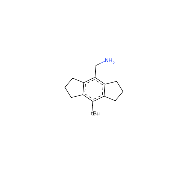 CC(C)(C)c1c2c(c(CN)c3c1CCC3)CCC2